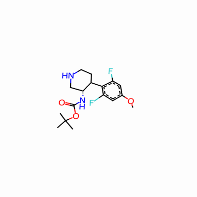 COc1cc(F)c(C2CCNC[C@H]2NC(=O)OC(C)(C)C)c(F)c1